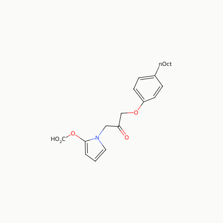 CCCCCCCCc1ccc(OCC(=O)Cn2cccc2OC(=O)O)cc1